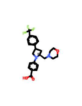 O=C(O)c1ccc(N2CC(c3ccc(C(F)(F)F)cc3)C[C@H]2CN2CCOCC2)cc1